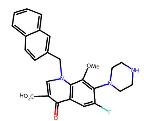 COc1c(N2CCNCC2)c(F)cc2c(=O)c(C(=O)O)cn(Cc3ccc4ccccc4c3)c12